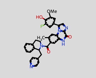 COc1cc(-c2cnc3c(=O)[nH]c4cc(C(=O)N5CCc6ccccc6C5Cc5ccncc5)c(C)cc4n23)cc(F)c1O